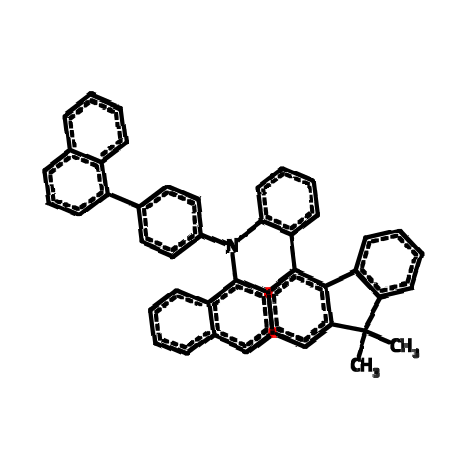 CC1(C)c2ccccc2-c2c(-c3ccccc3N(c3ccc(-c4cccc5ccccc45)cc3)c3cccc4ccccc34)cccc21